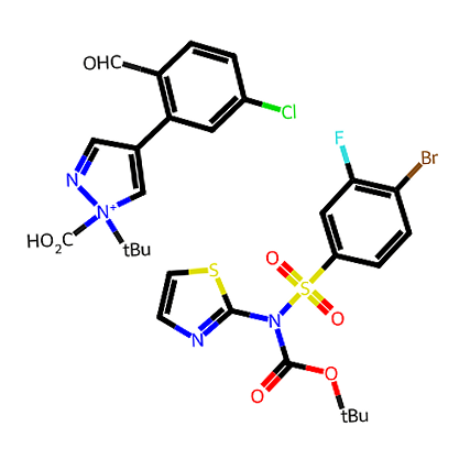 CC(C)(C)OC(=O)N(c1nccs1)S(=O)(=O)c1ccc(Br)c(F)c1.CC(C)(C)[N+]1(C(=O)O)C=C(c2cc(Cl)ccc2C=O)C=N1